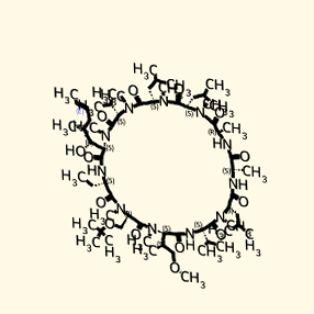 C/C=C/C[C@@H](C)[C@@H](O)[C@H]1C(=O)N[C@@H](CC)C(=O)N(C)[C@H](COC(C)(C)C)C(=O)N(C)[C@@H]([C@H](C)COC)C(=O)N[C@@H](C(C)C)C(=O)N(C)[C@@H](CC(C)C)C(=O)N[C@@H](C)C(=O)N[C@H](C)C(=O)N(C)[C@@H](CC(C)C)C(=O)N(C)[C@@H](CC(C)C)C(=O)N(C)[C@@H](C(C)C)C(=O)N1C